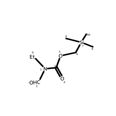 CCN([C]=O)C(=O)OC[Si](C)(C)C